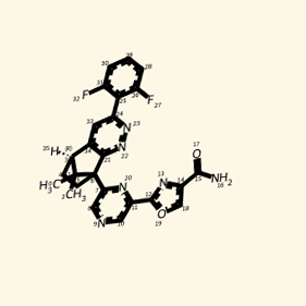 CC1(C)[C@H]2CCC1(c1cncc(-c3nc(C(N)=O)co3)n1)c1nnc(-c3c(F)cccc3F)cc12